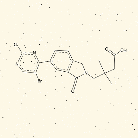 CC(C)(CC(=O)O)CN1Cc2ccc(-c3nc(Cl)ncc3Br)cc2C1=O